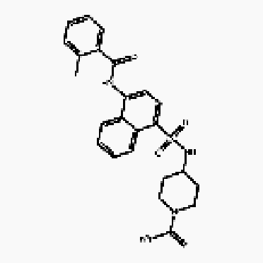 C=C(CCC)N1CCC(NS(=O)(=O)c2ccc(NC(=O)c3ccccc3C)c3ccccc23)CC1